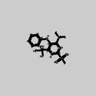 CN(C)c1nc(S(C)(=O)=O)nc(C(F)(F)F)c1Oc1ccccc1